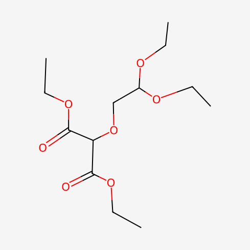 CCOC(=O)C(OCC(OCC)OCC)C(=O)OCC